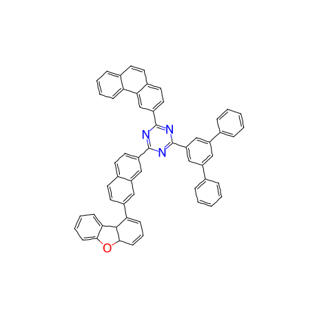 C1=CC2Oc3ccccc3C2C(c2ccc3ccc(-c4nc(-c5cc(-c6ccccc6)cc(-c6ccccc6)c5)nc(-c5ccc6ccc7ccccc7c6c5)n4)cc3c2)=C1